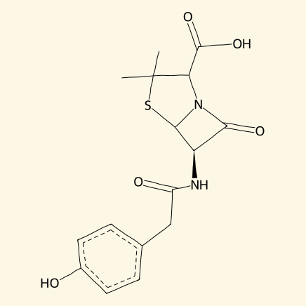 CC1(C)SC2[C@H](NC(=O)Cc3ccc(O)cc3)C(=O)N2C1C(=O)O